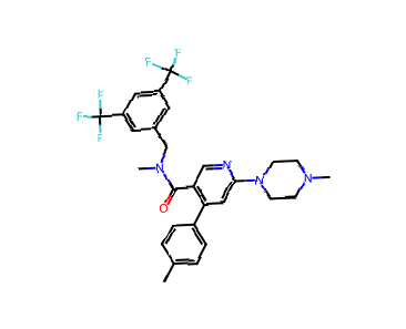 Cc1ccc(-c2cc(N3CCN(C)CC3)ncc2C(=O)N(C)Cc2cc(C(F)(F)F)cc(C(F)(F)F)c2)cc1